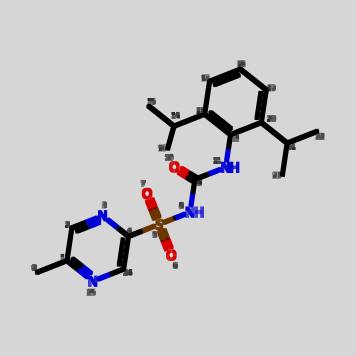 Cc1cnc(S(=O)(=O)NC(=O)Nc2c(C(C)C)cccc2C(C)C)cn1